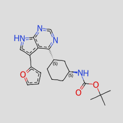 CC(C)(C)OC(=O)N[C@H]1CCC[C@H](c2ncnc3[nH]cc(-c4ccco4)c23)C1